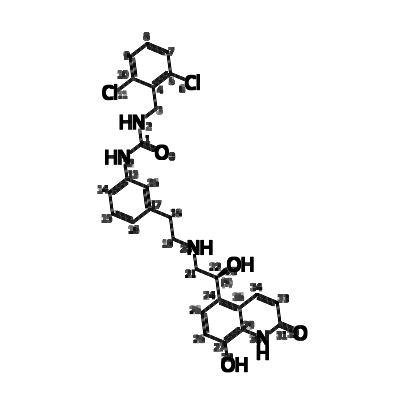 O=C(NCc1c(Cl)cccc1Cl)Nc1cccc(CCNC[C@@H](O)c2ccc(O)c3[nH]c(=O)ccc23)c1